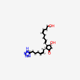 O=C1C[C@H](O)[C@H](/C=C/CC/C=C\CCO)[C@@H]1C/C=C\CCCc1nnn[nH]1